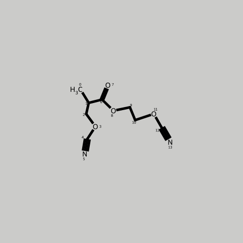 CC(COC#N)C(=O)OCCOC#N